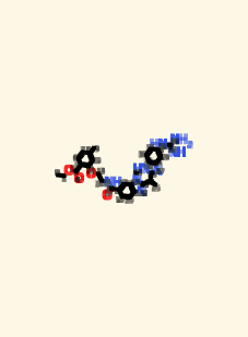 CCOC(=O)c1ccc(C)cc1OCCNC(=O)c1ccc2nc(C(C)c3nc4cc(NC(=N)N)ccc4[nH]3)n(C)c2c1